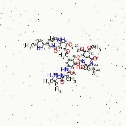 COc1cc2c(cc1OCCCOc1cc3c(cc1OC)C(=O)N1CC4(CC4)C[C@H]1C(O)N3C(=O)OCc1ccc(NC(=O)[C@H](C)NC(=O)[C@@H](N)C(C)C)cc1)NC[C@@H]1CC(c3ccc(C)nc3)=CN1C2=O